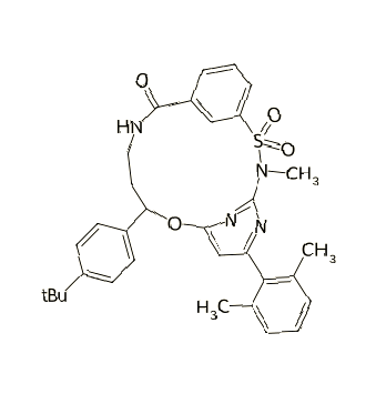 Cc1cccc(C)c1-c1cc2nc(n1)N(C)S(=O)(=O)c1cccc(c1)C(=O)NCCC(c1ccc(C(C)(C)C)cc1)O2